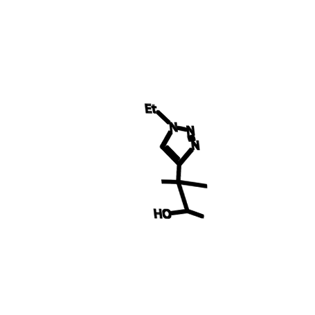 CCn1cc(C(C)(C)C(C)O)nn1